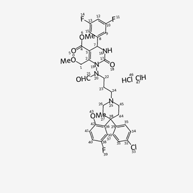 COCC1=C(C(=O)OC)C(c2cc(F)cc(F)c2)NC(=O)N1N(C=O)CCCN1CCC(c2ccc(Cl)cc2)(c2cc(F)ccc2OC)CC1.Cl.Cl